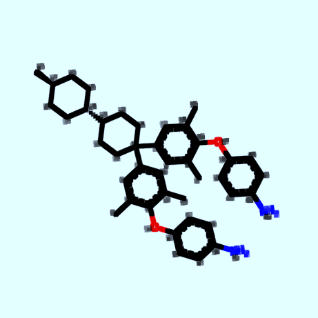 Cc1cc(C2(c3cc(C)c(Oc4ccc(N)cc4)c(C)c3)CCC([C@H]3CC[C@H](C)CC3)CC2)cc(C)c1Oc1ccc(N)cc1